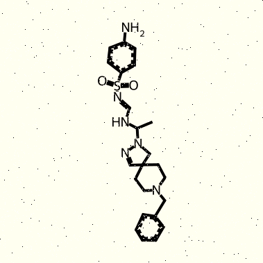 CC(NC=NS(=O)(=O)c1ccc(N)cc1)N1CC2(C=N1)CCN(Cc1ccccc1)CC2